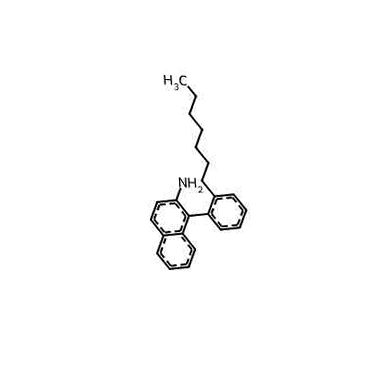 CCCCCCCc1ccccc1-c1c(N)ccc2ccccc12